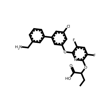 CCC(Oc1nc(Oc2cc(Cl)cc(-c3cccc(CN)c3)c2)c(F)cc1F)C(=O)O